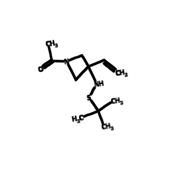 C=CC1(NSC(C)(C)C)CN(C(C)=O)C1